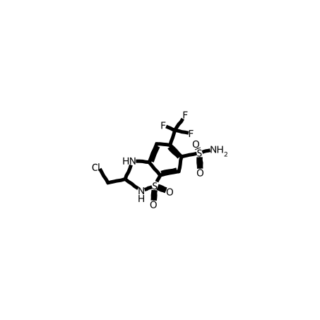 NS(=O)(=O)c1cc2c(cc1C(F)(F)F)NC(CCl)NS2(=O)=O